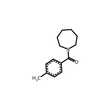 Cc1ccc(C(=O)N2CCCCCC2)cc1